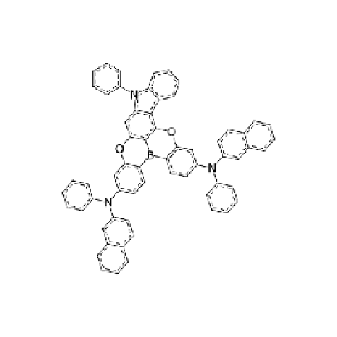 c1ccc(N(c2ccc3c(c2)Oc2cc4c(c5c2B3c2ccc(N(c3ccccc3)c3ccc6ccccc6c3)cc2O5)c2ccccc2n4-c2ccccc2)c2ccc3ccccc3c2)cc1